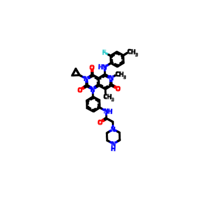 Cc1ccc(Nc2c3c(=O)n(C4CC4)c(=O)n(-c4cccc(NC(=O)CN5CCNCC5)c4)c3c(C)c(=O)n2C)c(F)c1